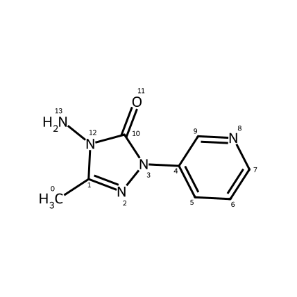 Cc1nn(-c2cccnc2)c(=O)n1N